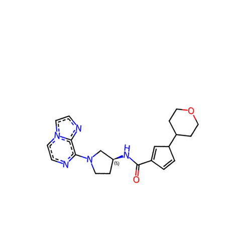 O=C(N[C@H]1CCN(c2nccn3ccnc23)C1)C1=CC(C2CCOCC2)C=C1